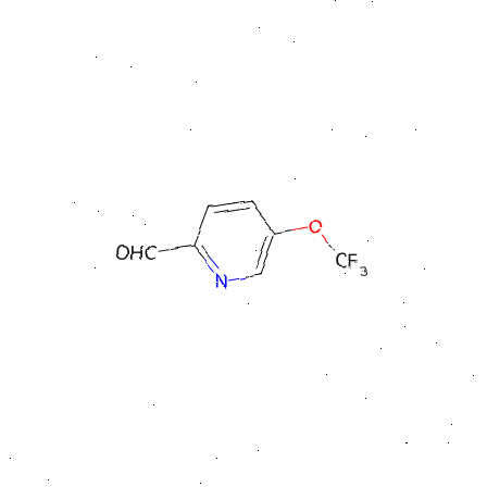 O=Cc1ccc(OC(F)(F)F)cn1